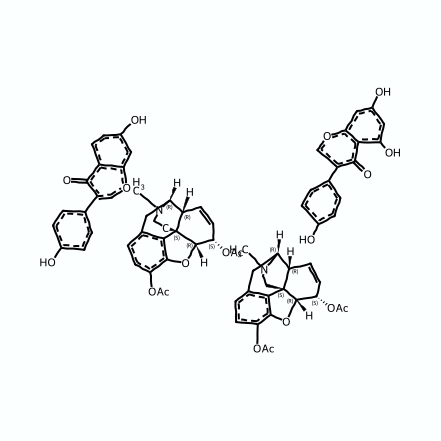 CC(=O)Oc1ccc2c3c1O[C@H]1[C@@H](OC(C)=O)C=C[C@H]4[C@@H](C2)N(C)CC[C@@]341.CC(=O)Oc1ccc2c3c1O[C@H]1[C@@H](OC(C)=O)C=C[C@H]4[C@@H](C2)N(C)CC[C@@]341.O=c1c(-c2ccc(O)cc2)coc2cc(O)cc(O)c12.O=c1c(-c2ccc(O)cc2)coc2cc(O)ccc12